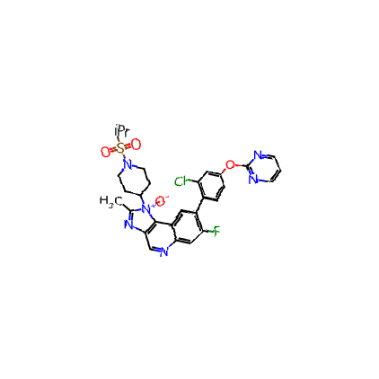 CC1=Nc2cnc3cc(F)c(-c4ccc(Oc5ncccn5)cc4Cl)cc3c2[N+]1([O-])C1CCN(S(=O)(=O)C(C)C)CC1